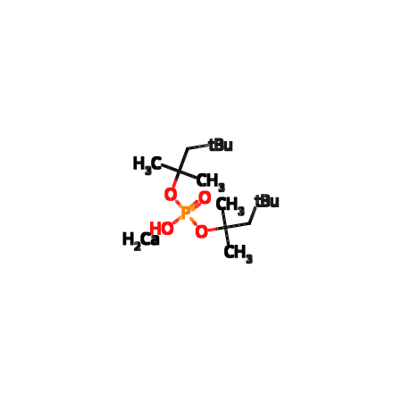 CC(C)(C)CC(C)(C)OP(=O)(O)OC(C)(C)CC(C)(C)C.[CaH2]